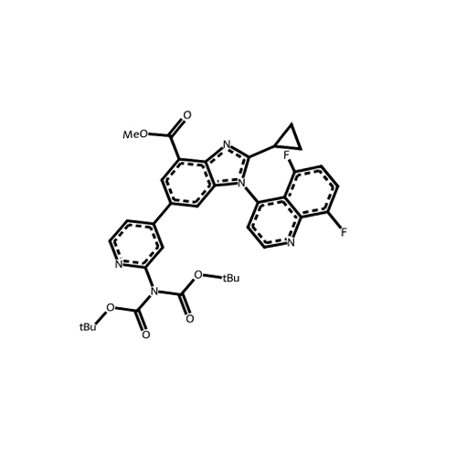 COC(=O)c1cc(-c2ccnc(N(C(=O)OC(C)(C)C)C(=O)OC(C)(C)C)c2)cc2c1nc(C1CC1)n2-c1ccnc2c(F)ccc(F)c12